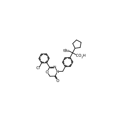 CC(C)(C)C(C(=O)O)(c1ccc(CN2N=C(c3ccccc3Cl)OCC2=O)cc1)C1CCCC1